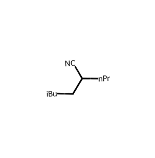 CCCC(C#N)CC(C)CC